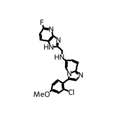 COc1ccc(-c2cnc3ccc(NCc4nc5nc(F)ccc5[nH]4)cn23)c(Cl)c1